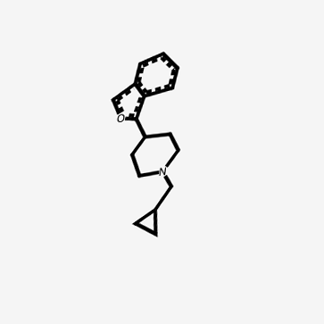 c1ccc2c(C3CCN(CC4CC4)CC3)occ2c1